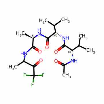 CC(=O)N[C@H](C(=O)N[C@H](C(=O)N[C@H](C)C(=O)NC(C)C(=O)C(F)(F)F)C(C)C)C(C)C